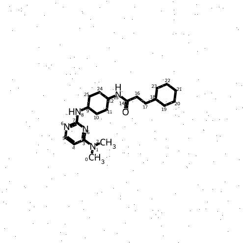 CN(C)c1ccnc(NC2CCC(NC(=O)CCC3CCCCC3)CC2)n1